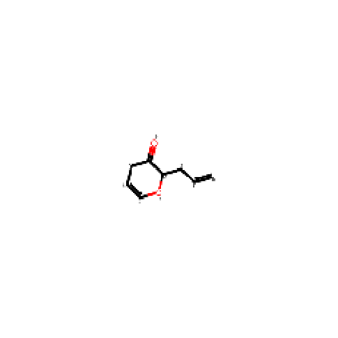 C=CCC1OC=CCC1=O